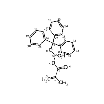 C=C(C)C(=O)OP(O)OC(c1ccccc1)(c1ccccc1)c1ccccc1